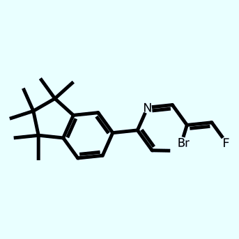 C\C=C(/N=C\C(Br)=C\F)c1ccc2c(c1)C(C)(C)C(C)(C)C2(C)C